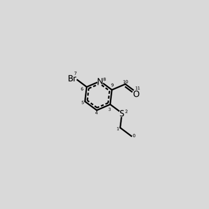 CCSc1ccc(Br)nc1C=O